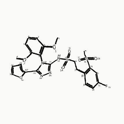 COc1cccc(OC)c1-n1c(NS(=O)(=O)CCc2ccc(F)cc2S(C)(=O)=O)nnc1-c1ccco1